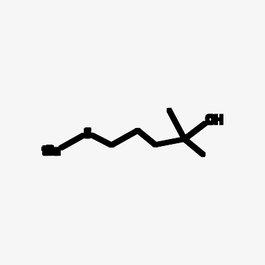 CC(C)(O)CCCSC(C)(C)C